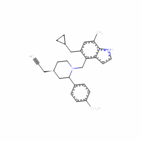 C#CC[C@H]1CCN(Cc2c(CC3CC3)cc(C)c3[nH]ccc23)C(c2ccc(C(=O)O)cc2)C1